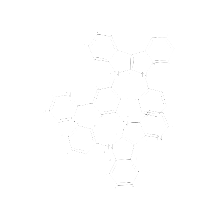 c1ccc(-n2c3ccccc3c3c4ccccc4n(-c4cc(-c5ncccn5)cc(-n5c6cccnc6c6c7ccccc7n(-c7ccccc7)c65)c4)c32)cc1